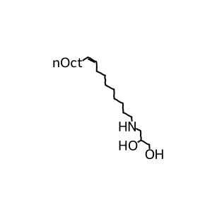 CCCCCCCC/C=C\CCCCCCCCNCC(O)CO